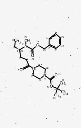 CC[C@H](CCC(=O)N1CCN(C(=O)OC(C)(C)C)CC1)N(C)C(=O)OCc1ccccc1